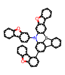 c1ccc2c(c1)B1c3cc4c(cc3N(c3ccc5c(c3)oc3ccccc35)c3cc(-c5cccc6oc7ccccc7c56)cc-2c31)oc1ccccc14